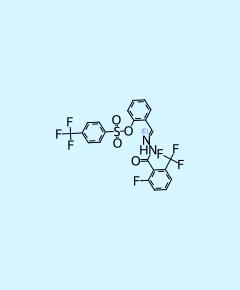 O=C(N/N=C/c1ccccc1OS(=O)(=O)c1ccc(C(F)(F)F)cc1)c1c(F)cccc1C(F)(F)F